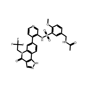 COc1ccc(CNC(C)=O)cc1S(=O)(=O)Nc1cnccc1-c1ccc2c3[nH]ncc3c(=O)n(CC(F)(F)F)c2c1